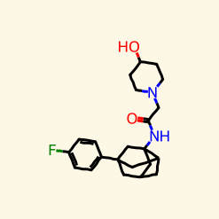 O=C(CN1CCC(O)CC1)NC12CC3CC1CC(c1ccc(F)cc1)(C3)C2